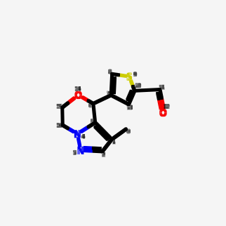 Cc1cnn2c1C(c1csc(C=O)c1)OCC2